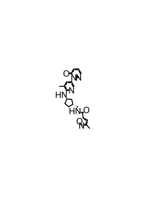 Cc1cc(C(=O)NC[C@@H]2CC[C@H](Nc3ncc(-n4ncccc4=O)cc3C)C2)on1